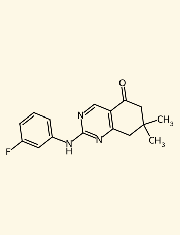 CC1(C)CC(=O)c2cnc(Nc3cccc(F)c3)nc2C1